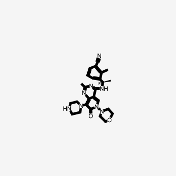 Cc1nc(N[C@H](C)c2cccc(C#N)c2C)c2cn(N3CCOCC3)c(=O)c(N3CCNCC3)c2n1